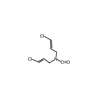 O=CN(CC=CCl)CC=CCl